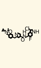 CC(=O)N(Cc1ccc(Cc2cc(C(=O)NCc3cc4c(Cl)c[nH]c4cc3F)ccn2)cc1)C1CC1